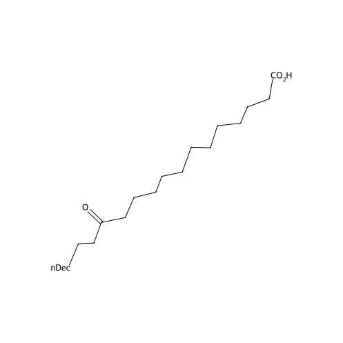 CCCCCCCCCCCCC(=O)CCCCCCCCCCCC(=O)O